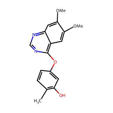 COc1cc2ncnc(Oc3ccc(C)c(O)c3)c2cc1OC